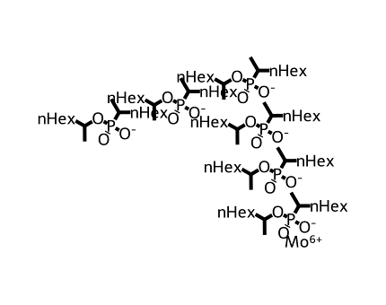 CCCCCCC(C)OP(=O)([O-])C(C)CCCCCC.CCCCCCC(C)OP(=O)([O-])C(C)CCCCCC.CCCCCCC(C)OP(=O)([O-])C(C)CCCCCC.CCCCCCC(C)OP(=O)([O-])C(C)CCCCCC.CCCCCCC(C)OP(=O)([O-])C(C)CCCCCC.CCCCCCC(C)OP(=O)([O-])C(C)CCCCCC.[Mo+6]